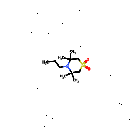 CCCN1C(C)(C)CS(=O)(=O)CC1(C)C